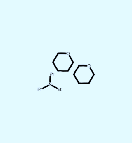 C1CCOCC1.C1CCOCC1.CCN(C(C)C)C(C)C